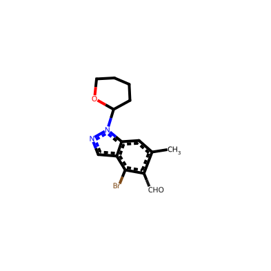 Cc1cc2c(cnn2C2CCCCO2)c(Br)c1C=O